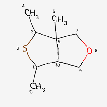 CC1SC(C)C2(C)COCC12